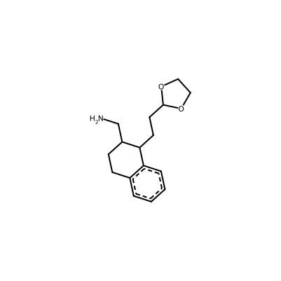 NCC1CCc2ccccc2C1CCC1OCCO1